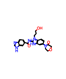 O=C(/N=c1\[nH]c2cc(N3CCOCC3=O)ccc2n1CCCO)c1ccc2nc[nH]c2c1